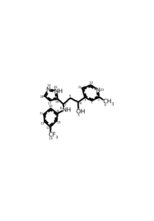 Cc1cc(C(O)CC(Nc2cccc(C(F)(F)F)c2)c2ccn[nH]2)ccn1